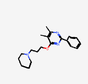 Cc1nc(-c2ccccc2)nc(OCCCN2CCCCC2)c1C